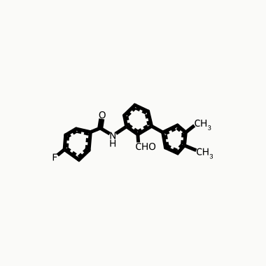 Cc1ccc(-c2cccc(NC(=O)c3ccc(F)cc3)c2C=O)cc1C